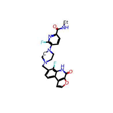 CCNC(=O)c1ccc(N2CCN(Cc3ccc4c([nH]c(=O)c5occc54)c3F)CC2)c(F)n1